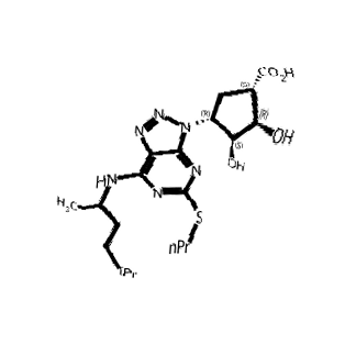 CCCSc1nc(NC(C)CCC(C)C)c2nnn([C@@H]3C[C@H](C(=O)O)[C@@H](O)[C@H]3O)c2n1